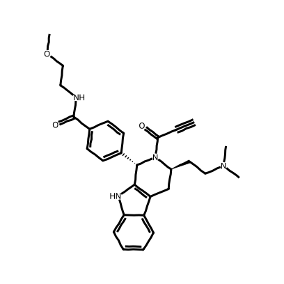 C#CC(=O)N1[C@@H](CCN(C)C)Cc2c([nH]c3ccccc23)[C@@H]1c1ccc(C(=O)NCCOC)cc1